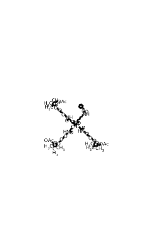 CC(=O)OCC1OC(OCCOCCOCCNC(=O)CCOCC(COCCC(=O)NCCOCCOCCOC2OC(COC(C)=O)C(C)C(C)C2C)(COCCC(=O)NCCOCCOCCOC2OC(COC(C)=O)C(C)C(C)C2C)NC(=O)CCCCCNC(=O)OCc2ccccc2)C(C)C(C)C1C